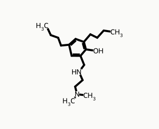 CCCCc1cc(CCCC)c(O)c(CNCCN(C)C)c1